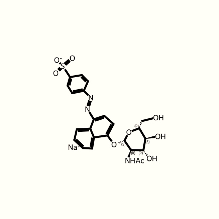 CC(=O)N[C@H]1[C@H](Oc2ccc(N=Nc3ccc(S(=O)(=O)[O-])cc3)c3ccccc23)O[C@H](CO)[C@@H](O)[C@@H]1O.[Na+]